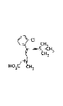 CN(CC=C(C#C[Si](C)(C)C)c1ccccc1Cl)CC(=O)O